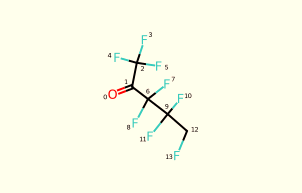 O=C(C(F)(F)F)C(F)(F)C(F)(F)CF